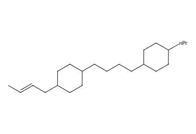 C/C=C/CC1CCC(CCCCC2CCC(CCC)CC2)CC1